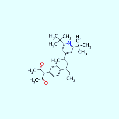 CCC(CC(C)c1cc(C(C)(C)C)nc(C(C)(C)C)c1)c1ccc(C(C(C)=O)C(C)=O)cc1